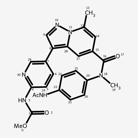 COC(=O)Nc1ccc(-c2cnn3c(C)cc(C(=O)N(C)c4ccc(NC(C)=O)cc4)cc23)cn1